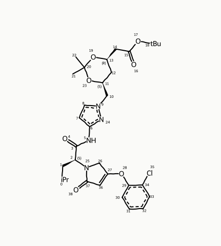 CC(C)C[C@@H](C(=O)Nc1ccn(C[C@@H]2C[C@H](CC(=O)OC(C)(C)C)OC(C)(C)O2)n1)N1CC(Oc2ccccc2Cl)=CC1=O